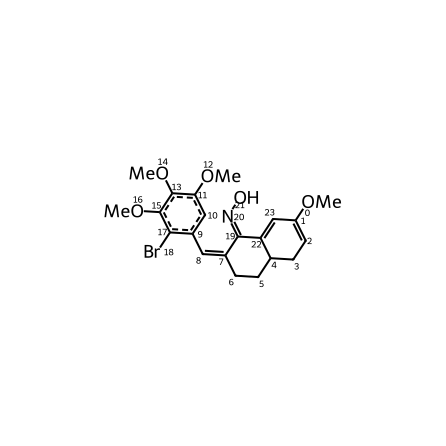 COC1=CCC2CCC(=Cc3cc(OC)c(OC)c(OC)c3Br)C(=NO)C2=C1